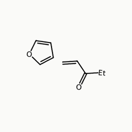 C=CC(=O)CC.c1ccoc1